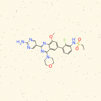 CCS(=O)(=O)Nc1cccc(-c2cc(OC)c3nc(-c4cnc(N)nc4)nc(N4CCOCC4)c3c2)c1F